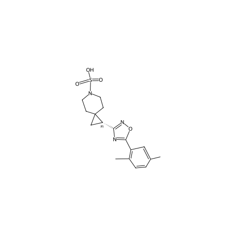 Cc1ccc(C)c(-c2nc([C@@H]3CC34CCN(S(=O)(=O)O)CC4)no2)c1